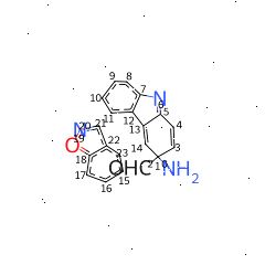 NC1(C=O)C=CC2=Nc3ccccc3C2=C1.c1ccc2oncc2c1